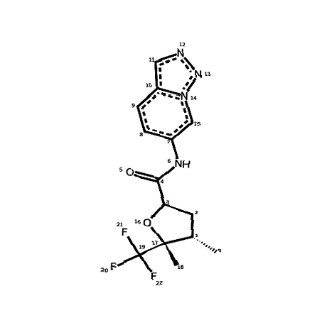 C[C@H]1CC(C(=O)Nc2ccc3cnnn3c2)O[C@@]1(C)C(F)(F)F